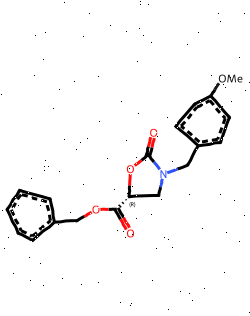 COc1ccc(CN2C[C@H](C(=O)OCc3ccccc3)OC2=O)cc1